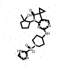 CC1(O)CCCC1N1C(=O)C2(CC2)c2cnc(NC3CCN(S(=O)(=O)c4ncc[nH]4)CC3)nc21